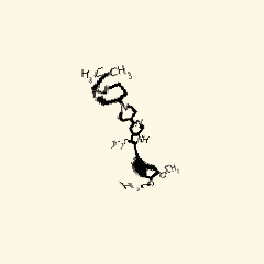 COc1ccc(-c2[nH]c3cnc(C4CCN(C5CCN(CC(C)C)CC5)CC4)cc3c2C)cc1OC